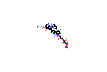 CN1CC2CCN(c3c(-c4cnc5c(c4)c(=O)c(C(=O)O)cn5C)cnc4[nH]c5c(NCC(=O)CNC(=O)CNC(=O)OC(C)(C)C)cc(F)c(F)c5c34)C2C1